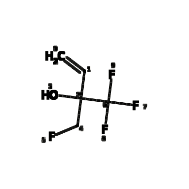 C=CC(O)(CF)C(F)(F)F